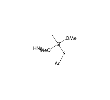 CO[Si](C)(OC)SC(C)=O.[NaH]